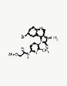 COCC(=O)Nc1ccc(-n2c(=O)n(C)c3cnc4ccc(Br)cc4c32)c(C)n1